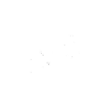 COc1cc[c]c(CSc2nc3ccccc3[nH]2)c1